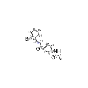 C=CC(=O)Nc1ccc(C(=O)/C=C/c2ccccc2Br)cc1